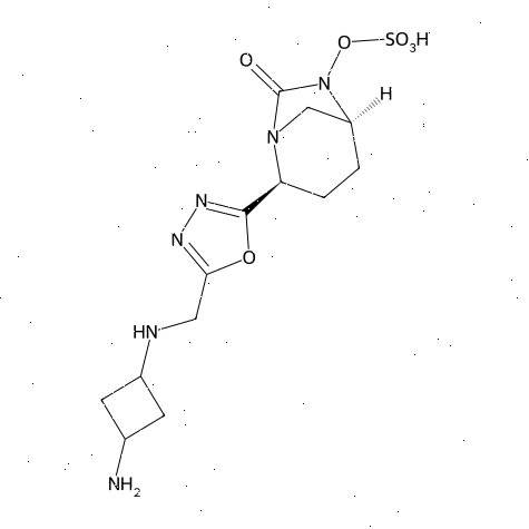 NC1CC(NCc2nnc([C@@H]3CC[C@H]4CN3C(=O)N4OS(=O)(=O)O)o2)C1